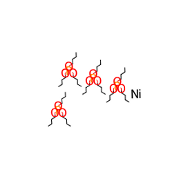 CCCCOP(OCCCC)OCCCC.CCCCOP(OCCCC)OCCCC.CCCCOP(OCCCC)OCCCC.CCCCOP(OCCCC)OCCCC.[Ni]